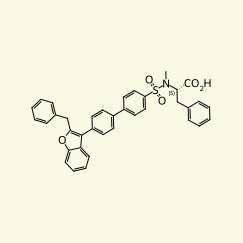 CN([C@@H](Cc1ccccc1)C(=O)O)S(=O)(=O)c1ccc(-c2ccc(-c3c(Cc4ccccc4)oc4ccccc34)cc2)cc1